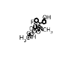 CCN1C[C@H](C(c2cccc(O)c2)c2cccc(F)c2)n2ncc(=O)c(OCOC(=O)NC)c2C1=O